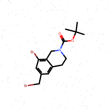 CC(C)(C)OC(=O)N1CCc2cc(CBr)cc(Br)c2C1